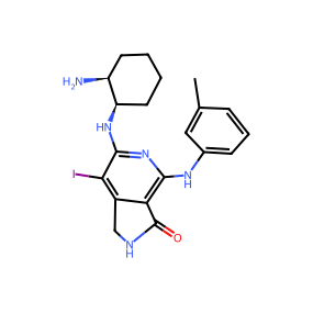 Cc1cccc(Nc2nc(N[C@@H]3CCCC[C@@H]3N)c(I)c3c2C(=O)NC3)c1